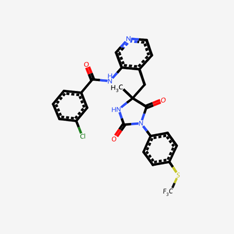 CC1(Cc2ccncc2NC(=O)c2cccc(Cl)c2)NC(=O)N(c2ccc(SC(F)(F)F)cc2)C1=O